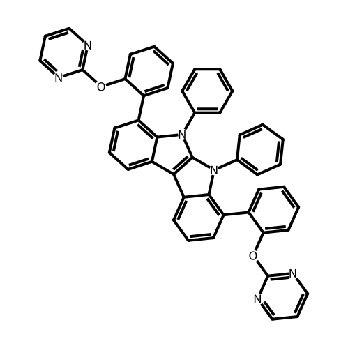 c1ccc(-n2c3c(-c4ccccc4Oc4ncccn4)cccc3c3c4cccc(-c5ccccc5Oc5ncccn5)c4n(-c4ccccc4)c32)cc1